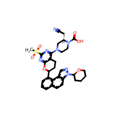 CS(=O)(=O)c1nc2c(c(N3CCN(C(=O)O)[C@@H](CC#N)C3)n1)CCC(c1cccc3ccc4c(cnn4C4CCCCO4)c13)O2